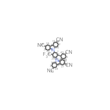 N#Cc1cccc(-c2cc(-n3c4ccc(C#N)cc4c4cc(C#N)ccc43)c(C(F)(F)F)cc2-n2c3ccc(C#N)cc3c3cc(C#N)ccc32)c1